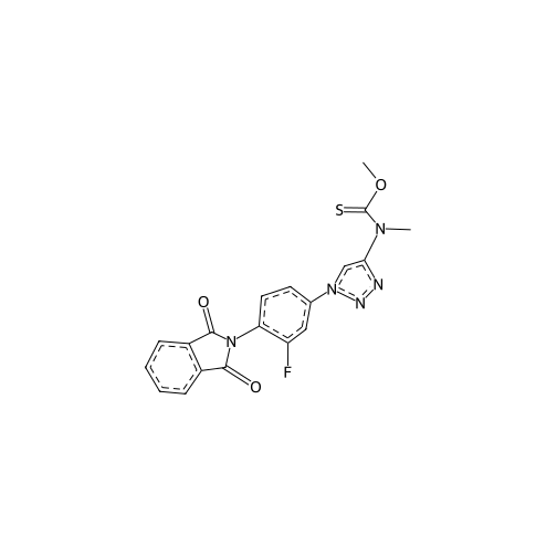 COC(=S)N(C)c1cn(-c2ccc(N3C(=O)c4ccccc4C3=O)c(F)c2)nn1